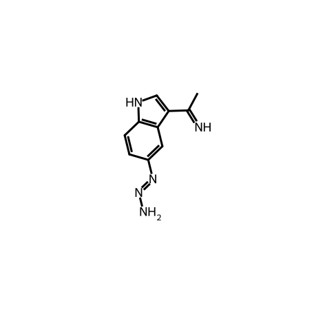 CC(=N)c1c[nH]c2ccc(N=NN)cc12